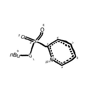 CCCCOS(=O)(=O)c1ccccn1